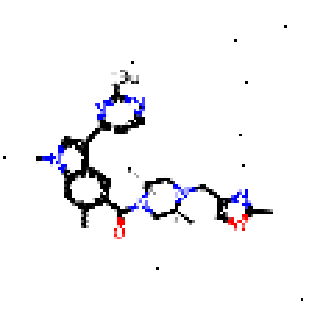 Cc1nc(CN2C[C@@H](C)N(C(=O)c3cc4c(-c5ccnc(C(C)(C)C)n5)cn(C)c4cc3C)C[C@@H]2C)co1